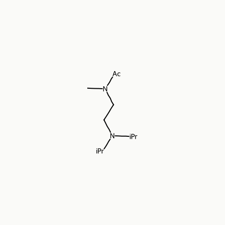 CC(=O)N(C)CCN(C(C)C)C(C)C